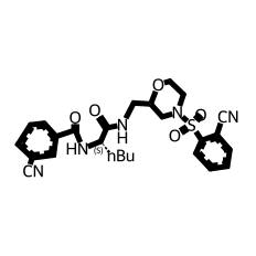 CCCC[C@H](NC(=O)c1cccc(C#N)c1)C(=O)NCC1CN(S(=O)(=O)c2ccccc2C#N)CCO1